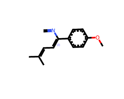 C=N/C(=C\C=C(C)C)c1ccc(OC)cc1